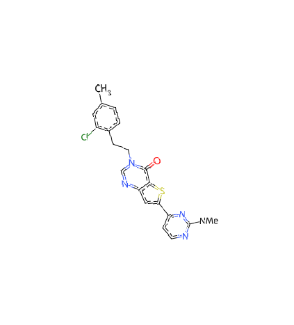 CNc1nccc(-c2cc3ncn(CCc4ccc(C)cc4Cl)c(=O)c3s2)n1